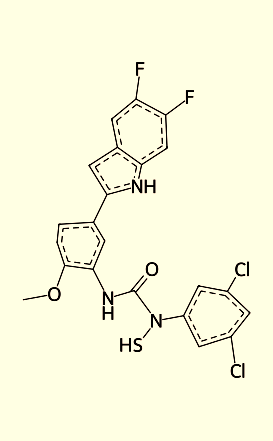 COc1ccc(-c2cc3cc(F)c(F)cc3[nH]2)cc1NC(=O)N(S)c1cc(Cl)cc(Cl)c1